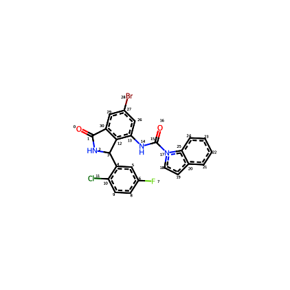 O=C1NC(c2cc(F)ccc2Cl)c2c(NC(=O)n3ccc4ccccc43)cc(Br)cc21